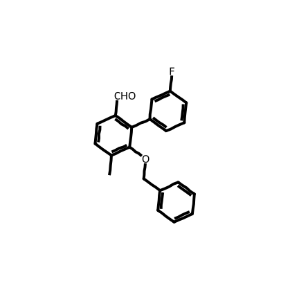 Cc1ccc(C=O)c(-c2cccc(F)c2)c1OCc1ccccc1